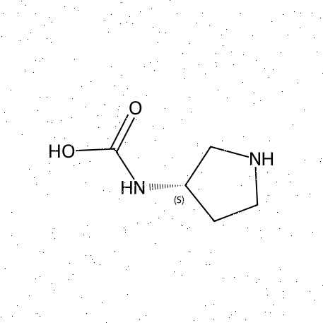 O=C(O)N[C@H]1CCNC1